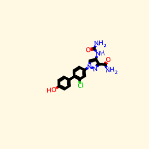 NC(=O)Nc1cn(-c2ccc(-c3ccc(O)cc3)c(Cl)c2)nc1C(N)=O